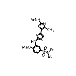 CCN(CC)S(=O)(=O)c1ccc(OC)c(Nc2nc(-c3sc(NC(C)=O)nc3C)cs2)c1